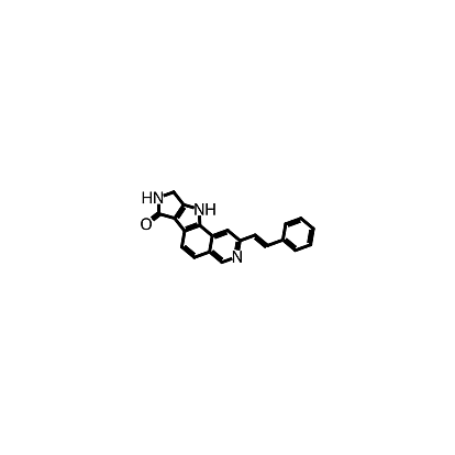 O=C1NCc2[nH]c3c(ccc4cnc(C=Cc5ccccc5)cc43)c21